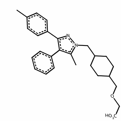 Cc1ccc(-c2nn(CC3CCC(COCC(=O)O)CC3)c(C)c2-c2ccccc2)cc1